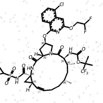 C[C@@H]1CC/C=C\[C@@H]2C[C@@]2(C(=O)NS(=O)(=O)C2CC2)NC(=O)[C@@H]2C[C@@H](Oc3nc(OCC(F)F)cc4c(Cl)cccc34)CN2C(=O)[C@@H](NC(=O)OC(C)(C)C(F)(F)F)[C@H](C)C1